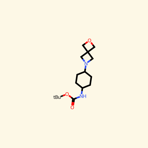 CC(C)(C)OC(=O)NC1CCC(N2CC3(COC3)C2)CC1